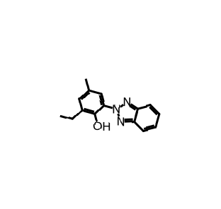 CCc1cc(C)cc(-n2nc3ccccc3n2)c1O